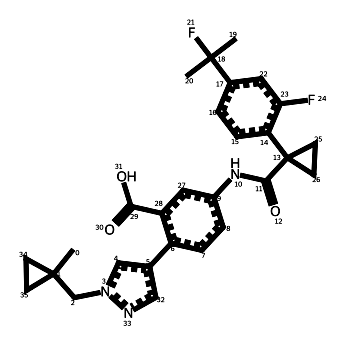 CC1(Cn2cc(-c3ccc(NC(=O)C4(c5ccc(C(C)(C)F)cc5F)CC4)cc3C(=O)O)cn2)CC1